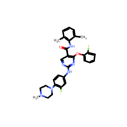 Cc1cccc(C)c1NC(=O)c1cnc(Nc2ccc(N3CCN(C)CC3)c(F)c2)nc1Oc1ccccc1F